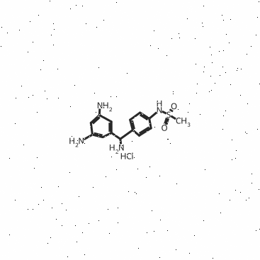 CS(=O)(=O)Nc1ccc(C(N)c2cc(N)cc(N)c2)cc1.Cl